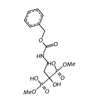 COP(=O)(O)C(O)(CCNC(=O)OCc1ccccc1)P(=O)(O)OC